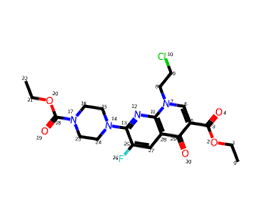 CCOC(=O)c1cn(CCCl)c2nc(N3CCN(C(=O)OCC)CC3)c(F)cc2c1=O